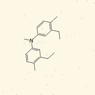 CCc1cc(N(C)c2ccc(C)c(CC)c2)ccc1C